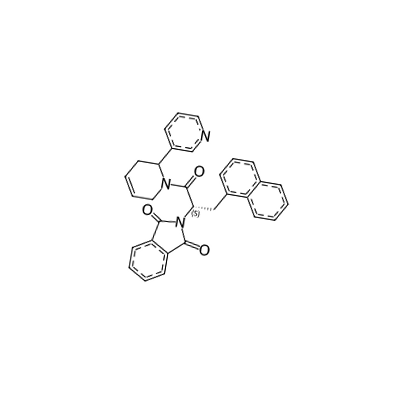 O=C([C@H](Cc1cccc2ccccc12)N1C(=O)c2ccccc2C1=O)N1CC=CCC1c1cccnc1